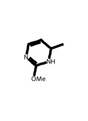 COC1=NC=CC(C)N1